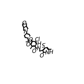 CSc1cc(C)[nH]c(=O)c1CNC(=O)c1cc(Cl)c2c(c1C)O[C@](C)([C@H]1CC[C@H](N3CC4COCC4C3)CC1)O2